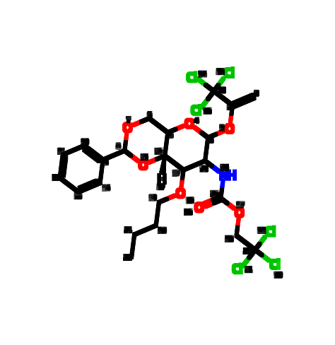 C=C(OC1OC2COC(c3ccccc3)O[C@H]2C(OCCCC)C1NC(=O)OCC(Cl)(Cl)Cl)C(Cl)(Cl)Cl